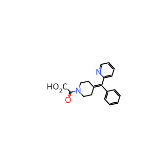 O=C(O)C(=O)N1CCC(=C(c2ccccc2)c2ccccn2)CC1